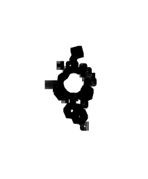 C[C@@]1(CCC2CCC2)C/C=C/[C@H](O)[C@@H]2CC[C@H]2CN2C[C@@]3(CCCc4cc(Cl)ccc43)COc3ccc(cc32)C(=O)NS(=O)(=O)C1